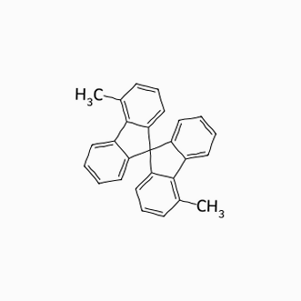 Cc1cccc2c1-c1ccccc1C21c2ccccc2-c2c(C)cccc21